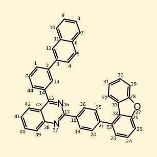 c1cc(-c2ccc3ccccc3c2)cc(-c2nc(-c3ccc(-c4cccc5oc6ccccc6c45)cc3)nc3ccccc23)c1